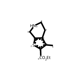 CCOC(=O)c1sc2c(c1C)CCNC2